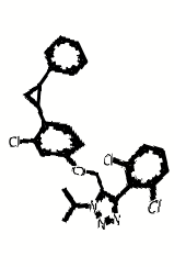 CC(C)n1nnc(-c2c(Cl)cccc2Cl)c1COc1ccc(C2CC2c2ccccc2)c(Cl)c1